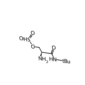 CC(C)(C)NC(=O)[C@@H](N)CO[SH](=O)=O